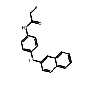 O=C(CI)Nc1ccc(Nc2ccc3ccccc3c2)cc1